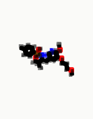 COCCCOc1cc(C[C@H](NS(=O)(=O)c2ccc(C)cc2)C(C)C)cnc1OC